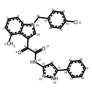 Cc1cccc2c1c(C(=O)C(=O)Nc1cc(-c3ccccc3)[nH]n1)cn2Cc1ccc(Cl)cc1